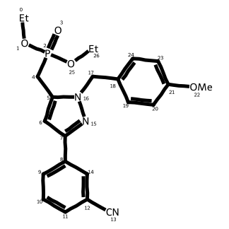 CCOP(=O)(Cc1cc(-c2cccc(C#N)c2)nn1Cc1ccc(OC)cc1)OCC